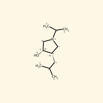 CC(C)C[C@H]1CN(C(C)C)C[C@H]1O